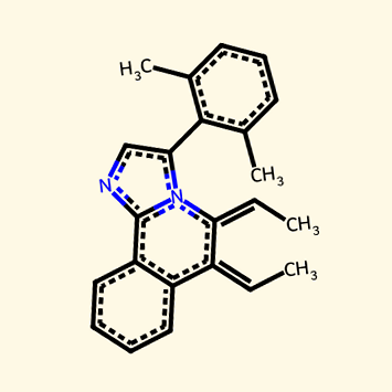 C/C=c1\c(=C/C)n2c(-c3c(C)cccc3C)cnc2c2ccccc12